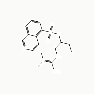 CCC(CNC(N)=[N+](C)C)NS(=O)(=O)c1cccc2cnccc12